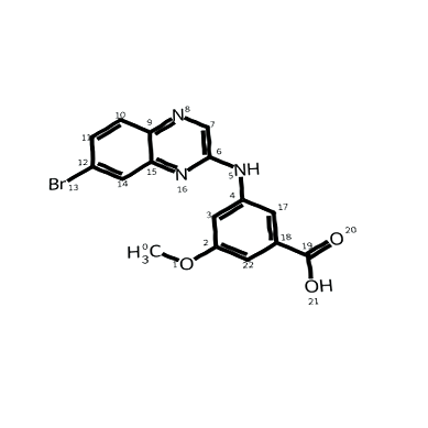 COc1cc(Nc2cnc3ccc(Br)cc3n2)cc(C(=O)O)c1